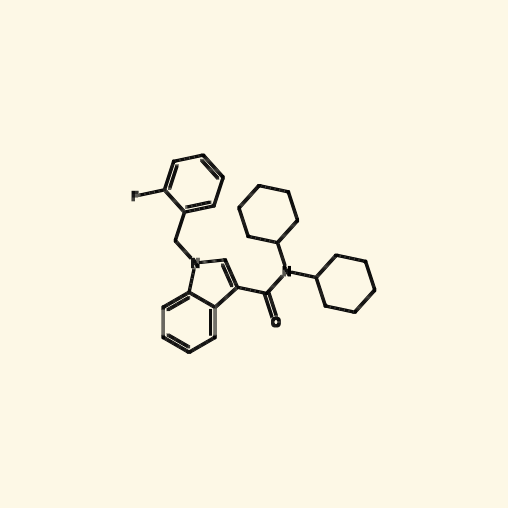 O=C(c1cn(Cc2ccccc2F)c2ccccc12)N(C1CCCCC1)C1CCCCC1